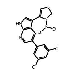 CCN(CC)N1CSC=C1c1c[nH]c2ncc(-c3cc(Cl)cc(Cl)c3)cc12